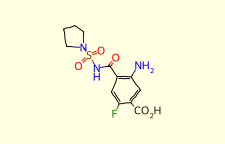 Nc1cc(C(=O)O)c(F)cc1C(=O)NS(=O)(=O)N1CCCC1